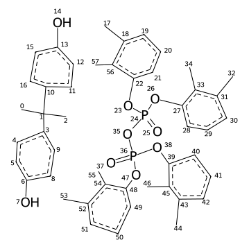 CC(C)(c1ccc(O)cc1)c1ccc(O)cc1.Cc1cccc(OP(=O)(Oc2cccc(C)c2C)OP(=O)(Oc2cccc(C)c2C)Oc2cccc(C)c2C)c1C